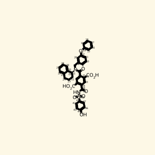 O=C(O)c1cc(C(=O)N(Cc2cccc(Oc3ccccc3)c2)[C@H]2CCCc3ccccc32)c(C(=O)O)cc1C(=O)NS(=O)(=O)c1ccc(O)cc1